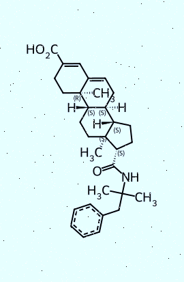 CC(C)(Cc1ccccc1)NC(=O)[C@H]1CC[C@H]2[C@@H]3CC=C4C=C(C(=O)O)CC[C@]4(C)[C@H]3CC[C@]12C